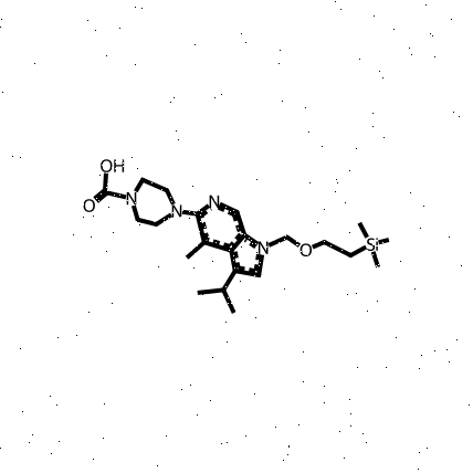 Cc1c(N2CCN(C(=O)O)CC2)ncc2c1c(C(C)C)cn2COCC[Si](C)(C)C